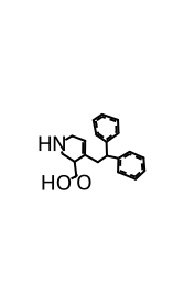 O=C(O)C1CNCC=C1CC(c1ccccc1)c1ccccc1